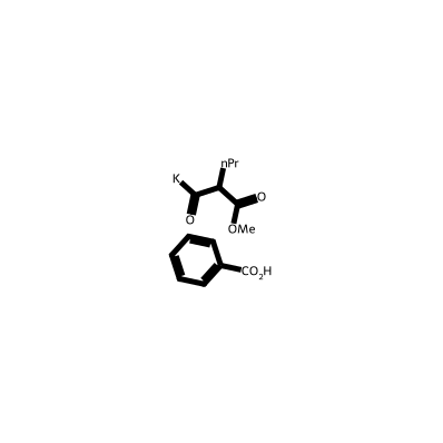 CCCC([C](=O)[K])C(=O)OC.O=C(O)c1ccccc1